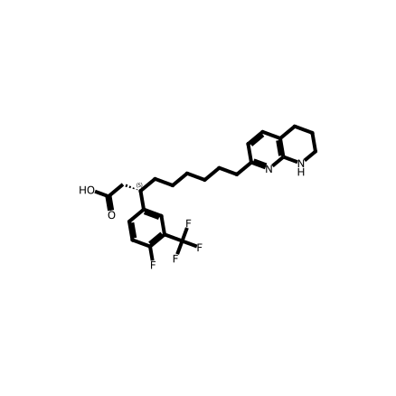 O=C(O)C[C@H](CCCCCCc1ccc2c(n1)NCCC2)c1ccc(F)c(C(F)(F)F)c1